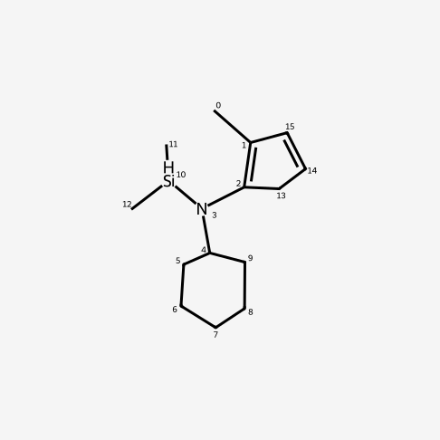 CC1=C(N(C2CCCCC2)[SiH](C)C)CC=C1